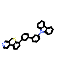 c1cc(-c2cccc(-n3c4ccccc4c4ccccc43)c2)cc(-c2cccc3c2SCc2cnccc2-3)c1